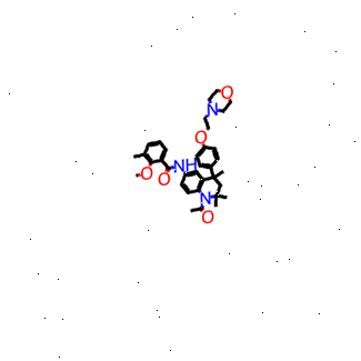 COc1c(C)cccc1C(=O)Nc1ccc2c(c1)C(C)(c1ccc(OCCN3CCOCC3)cc1)CC(C)(C)N2C(C)=O